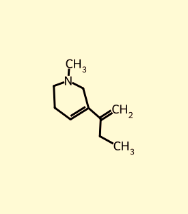 C=C(CC)C1=CCCN(C)C1